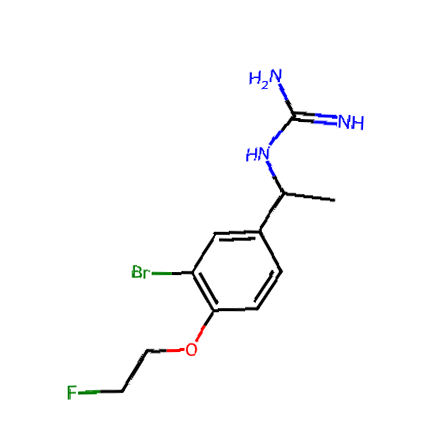 CC(NC(=N)N)c1ccc(OCCF)c(Br)c1